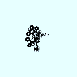 COC(=O)C(CCC(c1ccccc1)(c1ccccc1)N1C(=O)c2ccccc2C1=O)C(=O)N[C@@H]1C(=O)N2C(C(=O)OC(c3ccccc3)c3ccccc3)=C(CSc3nnnn3C)CS[C@@H]12